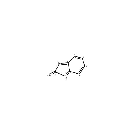 O=C1N=c2[c]cccc2=N1